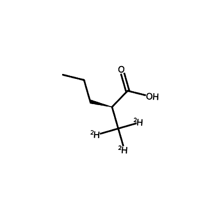 [2H]C([2H])([2H])[C@@H](CCC)C(=O)O